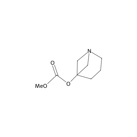 COC(=O)OC12CCCN(C1)C2